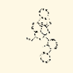 C=CC(=O)[O][Ti]([O]C(=O)C=C)([c]1cccc2c1Cc1ccccc1-2)[c]1cccc2c1Cc1ccccc1-2